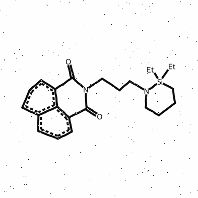 CC[Si]1(CC)CCCCN1CCCN1C(=O)c2cccc3cccc(c23)C1=O